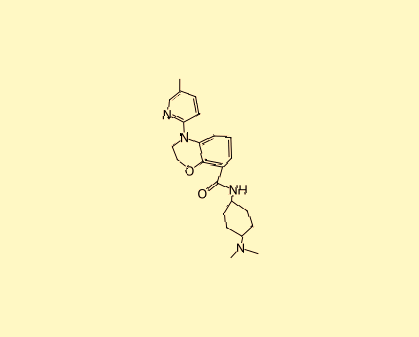 Cc1ccc(N2CCOc3c(C(=O)NC4CCC(N(C)C)CC4)cccc32)nc1